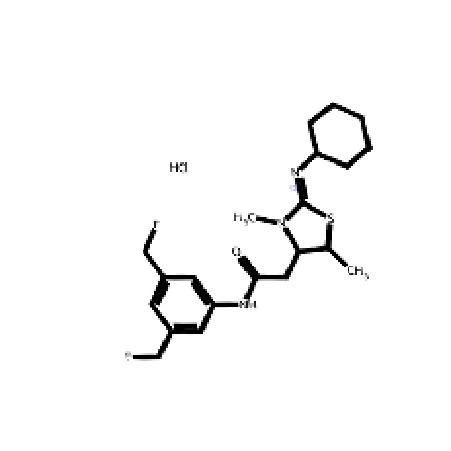 CC1S/C(=N\C2CCCCC2)N(C)C1CC(=O)Nc1cc(CF)cc(CF)c1.Cl